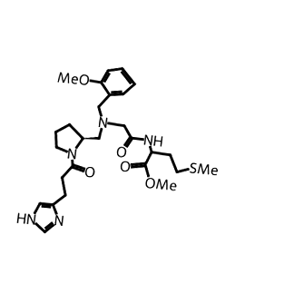 COC(=O)C(CCSC)NC(=O)CN(Cc1ccccc1OC)C[C@@H]1CCCN1C(=O)CCc1c[nH]cn1